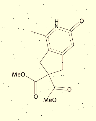 COC(=O)C1(C(=O)OC)Cc2cc(=O)[nH]c(C)c2C1